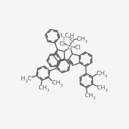 Cc1ccc(-c2cccc3c2C=C(c2ccccc2)[CH]3[Zr]([Cl])([Cl])([CH]2C(c3ccccc3)=Cc3c(-c4ccc(C)c(C)c4C)cccc32)[SiH](C)C)c(C)c1C